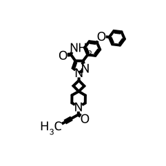 CC#CC(=O)N1CCC2(CC1)CC(n1cc(C(N)=O)c(-c3ccc(Oc4ccccc4)cc3)n1)C2